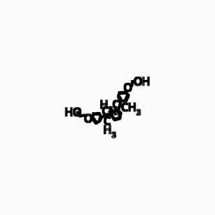 CC(C)(c1ccc(OCCO)cc1)c1cccc(C(C)(C)c2ccc(OCCO)cc2)c1